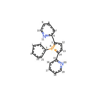 c1ccc(-p2c(-c3ccccn3)ccc2-c2ccccn2)cc1